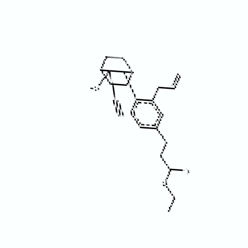 C#CC1(O)C2CCN(CC2)C1c1ccc(CCC(=O)OCC)cc1CC=C